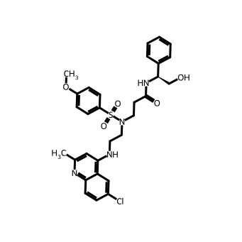 COc1ccc(S(=O)(=O)N(CCNc2cc(C)nc3ccc(Cl)cc23)CCC(=O)N[C@H](CO)c2ccccc2)cc1